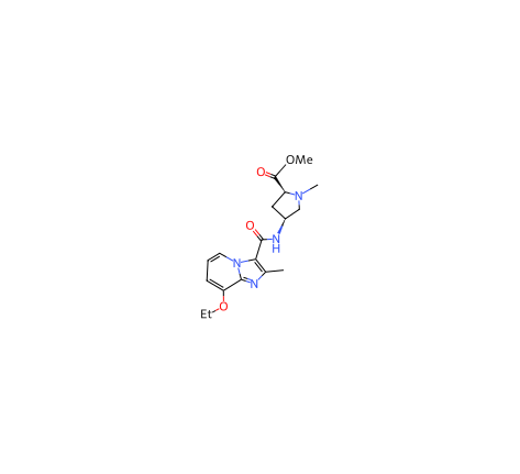 CCOc1cccn2c(C(=O)N[C@H]3C[C@@H](C(=O)OC)N(C)C3)c(C)nc12